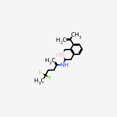 C=C(CCC(C)(F)F)NC1BCc2c(cccc2C(=C)C)C1